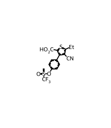 C=S(=O)(Oc1ccc(-c2c(C(=O)O)sc(CC)c2C#N)cc1)C(F)(F)F